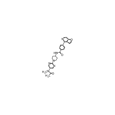 CC(=O)N(C)c1cnc(N2CCC(NC(=O)c3ccc(-c4nccc5occc45)cc3)CC2)nc1